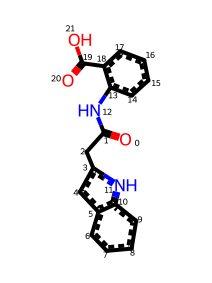 O=C(Cc1cc2ccccc2[nH]1)Nc1ccccc1C(=O)O